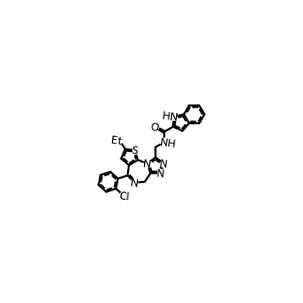 CCc1cc2c(s1)-n1c(nnc1CNC(=O)c1cc3ccccc3[nH]1)CN=C2c1ccccc1Cl